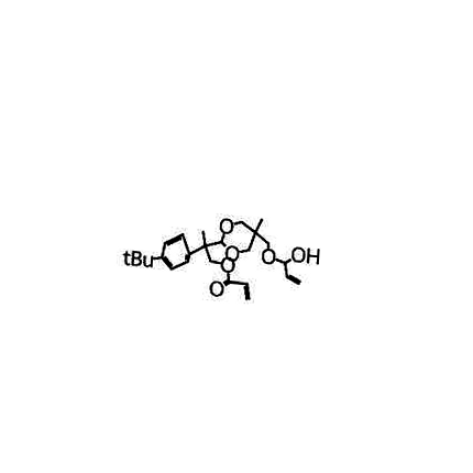 C=CC(=O)OCC(C)(c1ccc(C(C)(C)C)cc1)C1OCC(C)(COC(O)C=C)CO1